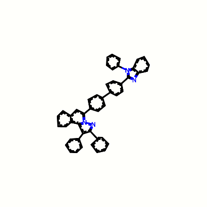 c1ccc(-c2nn3c(-c4ccc(-c5ccc(-c6nc7ccccc7n6-c6ccccc6)cc5)cc4)cc4ccccc4c3c2-c2ccccc2)cc1